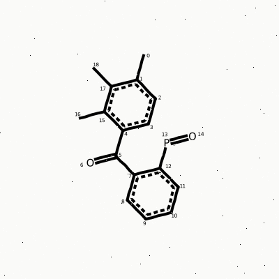 Cc1ccc(C(=O)c2ccccc2P=O)c(C)c1C